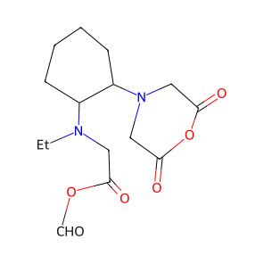 CCN(CC(=O)OC=O)C1CCCCC1N1CC(=O)OC(=O)C1